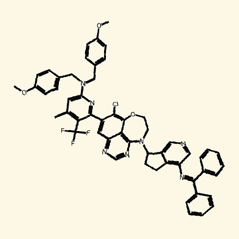 COc1ccc(CN(Cc2ccc(OC)cc2)c2cc(C)c(C(F)(F)F)c(-c3cc4ncnc5c4c(c3Cl)OCCN5C3CCc4c(N=C(c5ccccc5)c5ccccc5)cncc43)n2)cc1